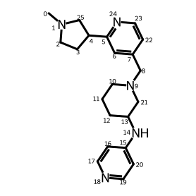 CN1CCC(c2cc(CN3CCCC(Nc4ccncc4)C3)ccn2)C1